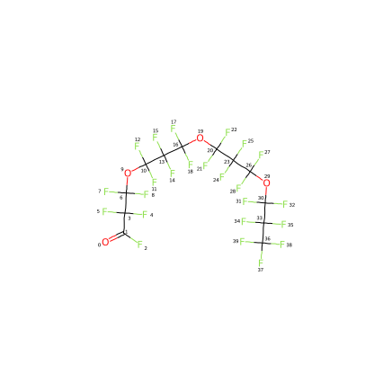 O=C(F)C(F)(F)C(F)(F)OC(F)(F)C(F)(F)C(F)(F)OC(F)(F)C(F)(F)C(F)(F)OC(F)(F)C(F)(F)C(F)(F)F